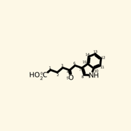 O=C(O)CCCC(=O)Cc1c[nH]c2ccccc12